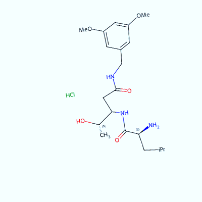 COc1cc(CNC(=O)CC(NC(=O)[C@@H](N)CC(C)C)[C@H](C)O)cc(OC)c1.Cl